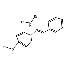 CCNCC.CCOc1ccc(N=Nc2ccccc2)cc1